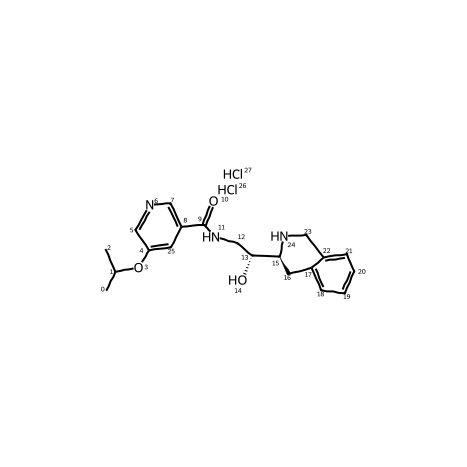 CC(C)Oc1cncc(C(=O)NC[C@@H](O)[C@@H]2Cc3ccccc3CN2)c1.Cl.Cl